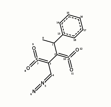 CC(C(C(C=[N+]=[N-])=S(=O)=O)=S(=O)=O)c1ccccc1